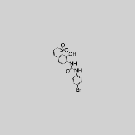 O=C(Nc1ccc(Br)cc1)Nc1ccc2c(c1O)S(=O)(=O)CC=C2